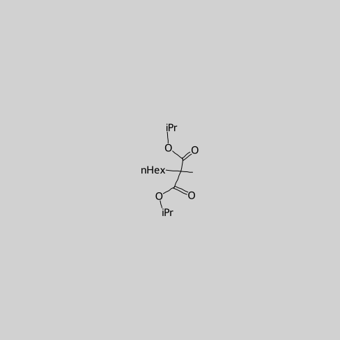 CCCCCCC(C)(C(=O)OC(C)C)C(=O)OC(C)C